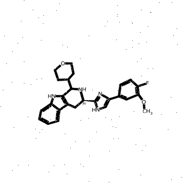 COc1cc(-c2c[nH]c([C@H]3Cc4c([nH]c5ccccc45)C(C4CCOCC4)N3)n2)ccc1F